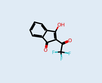 O=C1C(C(=O)C(F)(F)F)=C(O)c2ccccc21